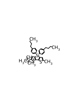 CCCCc1ccc([Si]2(c3ccc(CCCC)cc3)c3cc(C)sc3-c3sc([Si](C)(C)C)cc32)cc1